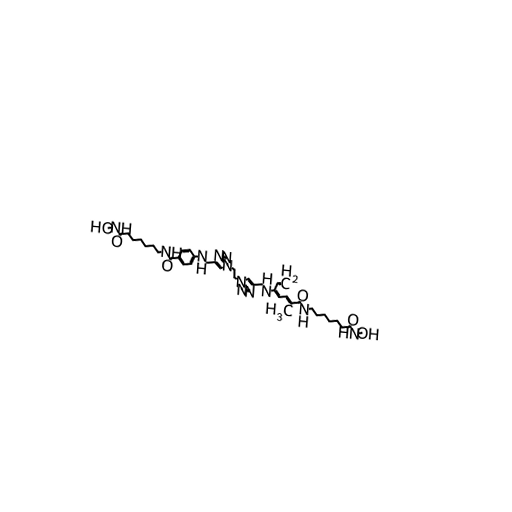 C=C/C(=C\C=C(/C)C(=O)NCCCCCCC(=O)NO)NCc1cn(CCn2cc(CNc3ccc(C(=O)NCCCCCCC(=O)NO)cc3)nn2)nn1